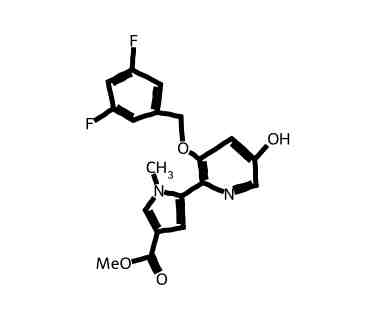 COC(=O)c1cc(-c2ncc(O)cc2OCc2cc(F)cc(F)c2)n(C)c1